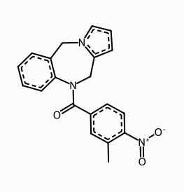 Cc1cc(C(=O)N2Cc3cccn3Cc3ccccc32)ccc1[N+](=O)[O-]